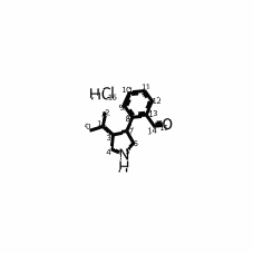 CC(C)C1CNCC1c1ccccc1C=O.Cl